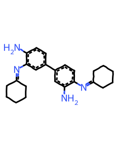 Nc1cc(-c2ccc(N)c(N=C3CCCCC3)c2)ccc1N=C1CCCCC1